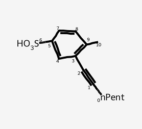 CCCCCC#Cc1cc(S(=O)(=O)O)ccc1C